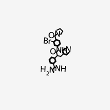 N=C(N)c1cccc(C(Cc2ccncc2)C(=O)Nc2ccc(C(=O)N3CCCC3)c(Br)c2)c1